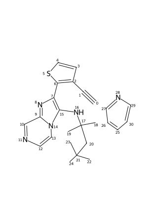 C#Cc1ccsc1-c1nc2cnccn2c1NC(C)(C)CC(C)(C)C.c1ccncc1